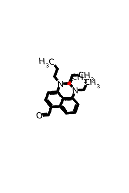 CCCN(CCC)c1ccc(C=O)c2cccc(N(CC)CC)c12